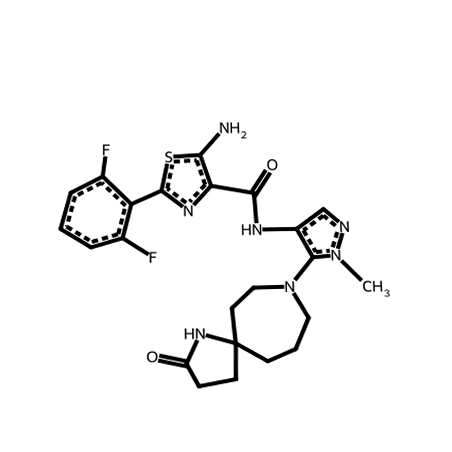 Cn1ncc(NC(=O)c2nc(-c3c(F)cccc3F)sc2N)c1N1CCCC2(CCC(=O)N2)CC1